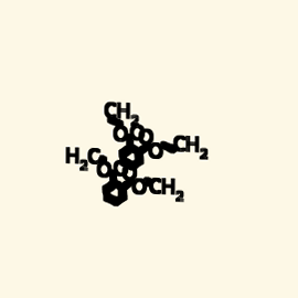 C=CCOC(=O)c1ccccc1C(=O)OCC=C.C=COC(=O)c1ccccc1C(=O)OC=C